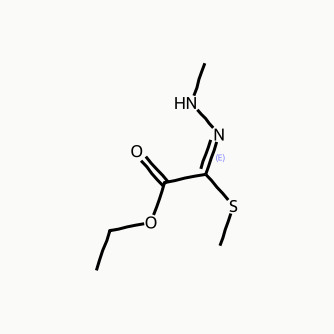 CCOC(=O)/C(=N\NC)SC